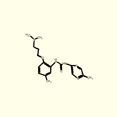 Cc1ccc(OCCCN(C)C)c(NC(=O)Nc2cnc(C)cn2)c1